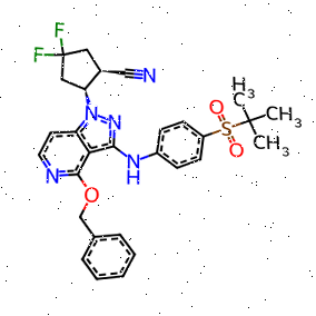 CC(C)(C)S(=O)(=O)c1ccc(Nc2nn([C@H]3CC(F)(F)C[C@H]3C#N)c3ccnc(OCc4ccccc4)c23)cc1